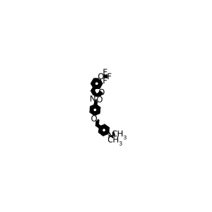 CN(C)c1ccc(CCOc2ccc(C3=NC(=Cc4ccc(OC(F)(F)F)cc4)C(=O)O3)cc2)cc1